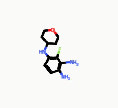 Nc1ccc(NC2CCOCC2)c(F)c1N